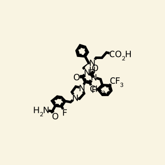 Cc1c(N2CCN(Cc3cccc(C(N)=O)c3F)CC2)c(=O)n(C[C@H](NCCCC(=O)O)c2ccccc2)c(=O)n1Cc1c(F)cccc1C(F)(F)F